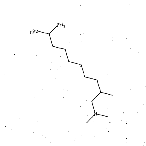 CCCCC(P)CCCCCCC(C)CN(C)C